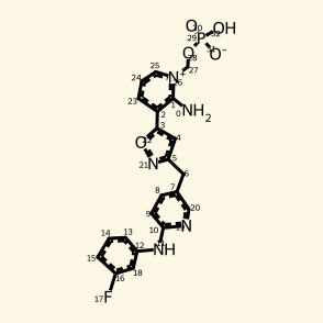 Nc1c(-c2cc(Cc3ccc(Nc4cccc(F)c4)nc3)no2)ccc[n+]1COP(=O)([O-])O